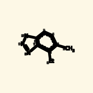 CCc1c(C)ccc2c1N=N[N]2